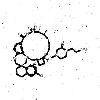 COCCN1CCN(C[C@H]2CCC[C@H](C)[C@@H](C)S(=O)(=O)NC(=O)c3ccc4c(c3)N(C[C@@H]3CC[C@@H]23)C[C@@]2(CCCc3cc(Cl)ccc32)CO4)CC1=O